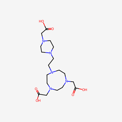 O=C(O)CN1CCN(CCN2CCN(CC(=O)O)CCN(CC(=O)O)CC2)CC1